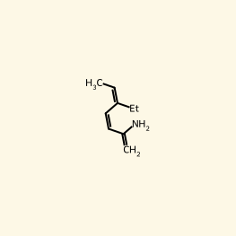 C=C(N)/C=C\C(=C/C)CC